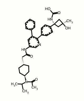 CC(=O)N(C(C)C)[C@H]1CC[C@H](CC(=O)Nc2cnc(-c3ccc([C@]4(NC(=O)O)C[C@](C)(O)C4)cc3)c(-c3ccccc3)c2)CC1